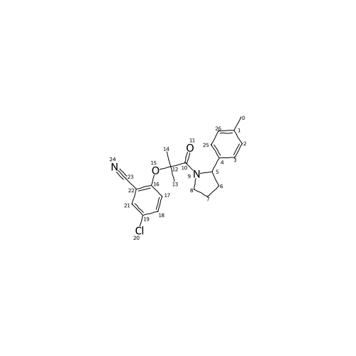 Cc1ccc(C2CCCN2C(=O)C(C)(C)Oc2ccc(Cl)cc2C#N)cc1